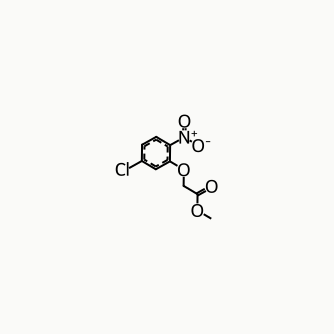 COC(=O)COc1cc(Cl)ccc1[N+](=O)[O-]